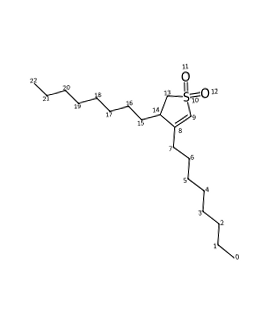 CCCCCCCCC1=CS(=O)(=O)CC1CCCCCCCC